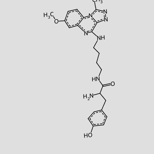 COc1ccc2c(c1)nc(NCCCCNC(=O)C(N)Cc1ccc(O)cc1)c1nnc(C)n12